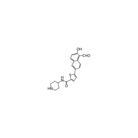 O=Cc1c(O)ccc2cc(-c3ccc(C(=O)NC4CCNCC4)s3)ccc12